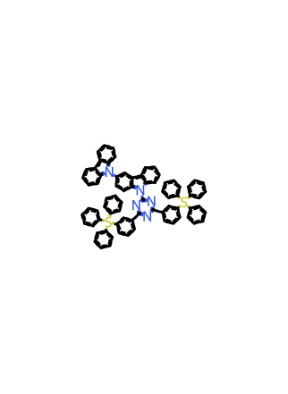 c1ccc(S(c2ccccc2)(c2ccccc2)c2cccc(-c3nc(-c4cccc(S(c5ccccc5)(c5ccccc5)c5ccccc5)c4)nc(-n4c5ccccc5c5cc(-n6c7ccccc7c7ccccc76)ccc54)n3)c2)cc1